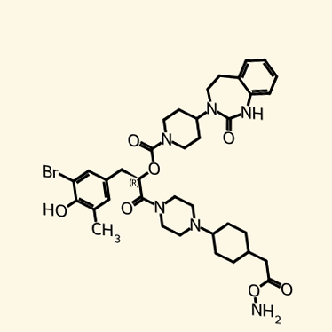 Cc1cc(C[C@@H](OC(=O)N2CCC(N3CCc4ccccc4NC3=O)CC2)C(=O)N2CCN(C3CCC(CC(=O)ON)CC3)CC2)cc(Br)c1O